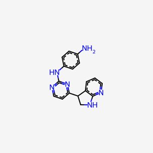 Nc1ccc(Nc2nccc(C3CNc4ncccc43)n2)cc1